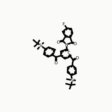 CC(C)(C)[Si](C)(C)c1ccc(C(=O)c2cc(C(=O)c3ccc([Si](C)(C)C(C)(C)C)cc3)cc(N3C(=O)c4ccc(F)cc4C3=O)c2)cc1